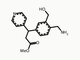 COC(=O)CC(c1ccncc1)c1ccc(CN)c(CO)c1